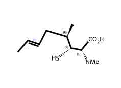 C/C=C/C[C@@H](C)[C@@H](S)[C@@H](NC)C(=O)O